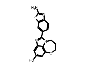 Nc1nc2ccc(-c3nc4cc(O)cc5c4n3CCCO5)cc2s1